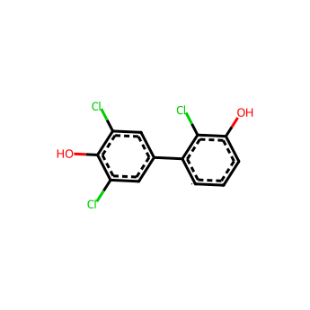 Oc1cc[c]c(-c2cc(Cl)c(O)c(Cl)c2)c1Cl